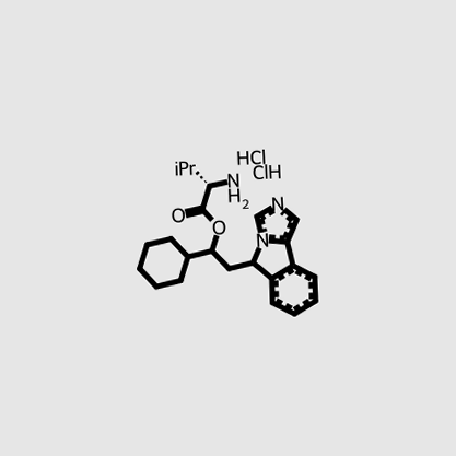 CC(C)[C@H](N)C(=O)OC(CC1c2ccccc2-c2cncn21)C1CCCCC1.Cl.Cl